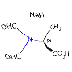 C[C@@H](C(=O)O)N(C=O)C=O.[NaH]